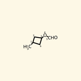 CC1CC(OC=O)C1